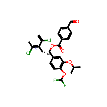 C=C(Cl)/C(C[C@H](OC(=O)c1ccc(C=O)cc1)c1ccc(OC(F)F)c(OC(C)C)c1)=C(\C)Cl